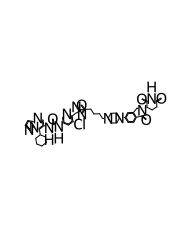 O=C1CCC(N2Cc3cc(N4CCN(CCCCc5nc(-c6ncc(NC(=O)Nc7cnc8ccnn8c7C7CCCCC7)cc6Cl)no5)CC4)ccc3C2=O)C(=O)N1